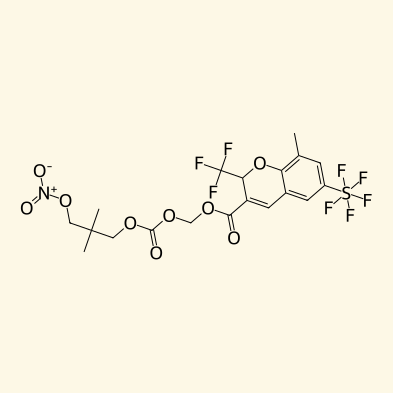 Cc1cc(S(F)(F)(F)(F)F)cc2c1OC(C(F)(F)F)C(C(=O)OCOC(=O)OCC(C)(C)CO[N+](=O)[O-])=C2